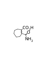 NC(=O)C1=C(C(=O)O)CCCCC1